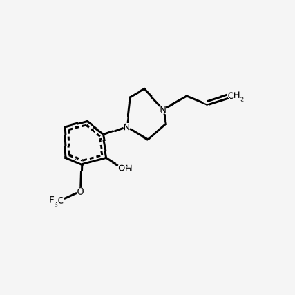 C=CCN1CCN(c2cccc(OC(F)(F)F)c2O)CC1